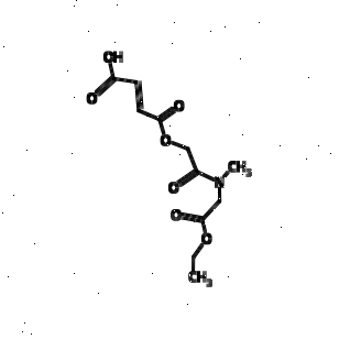 CCOC(=O)CN(C)C(=O)COC(=O)C=CC(=O)O